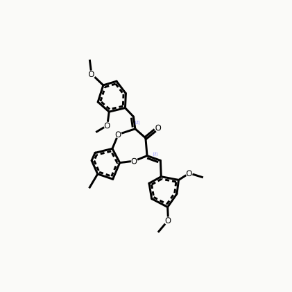 COc1ccc(/C=C2\Oc3ccc(C)cc3O/C(=C\c3ccc(OC)cc3OC)C2=O)c(OC)c1